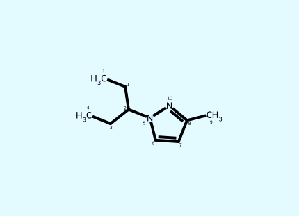 CCC(CC)n1ccc(C)n1